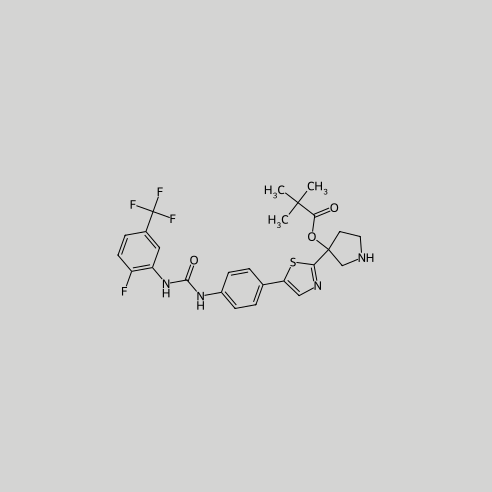 CC(C)(C)C(=O)OC1(c2ncc(-c3ccc(NC(=O)Nc4cc(C(F)(F)F)ccc4F)cc3)s2)CCNC1